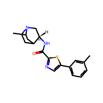 Cc1cccc(-c2cnc(C(=O)N[C@H]3CN4CCC3CC4C)s2)c1